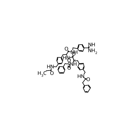 CCC(=O)NCc1ccc(CC(NC(=O)[C@@H](Cc2ccc(CNC(=O)Cc3ccccc3)cc2)NS(=O)(=O)Cc2ccccc2)C(=O)NCc2ccc(C(=N)N)cc2)cc1